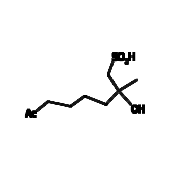 CC(=O)CCCCC(C)(O)CS(=O)(=O)O